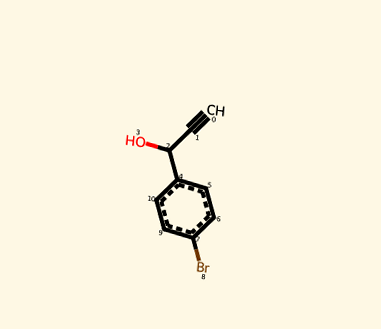 C#CC(O)c1ccc(Br)cc1